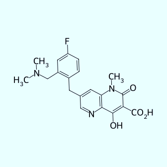 CN(C)Cc1cc(F)ccc1Cc1cnc2c(O)c(C(=O)O)c(=O)n(C)c2c1